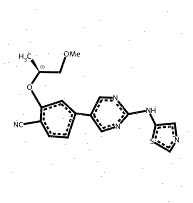 COC[C@H](C)Oc1cc(-c2cnc(Nc3cncs3)nc2)ccc1C#N